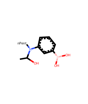 CCCCCN(c1cccc(B(O)O)c1)C(C)O